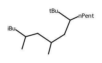 CCCCCC(CC(C)CC(C)C(C)CC)C(C)(C)C